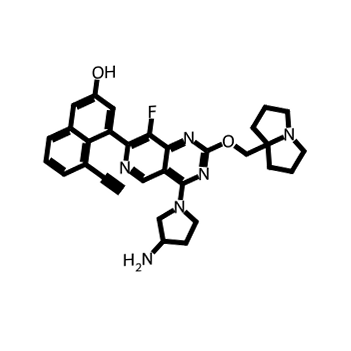 C#Cc1cccc2cc(O)cc(-c3ncc4c(N5CCC(N)C5)nc(OCC56CCCN5CCC6)nc4c3F)c12